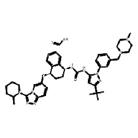 CC1CCCCN1c1nnc2ccc(O[C@@H]3CC[C@H](NC(=O)Nc4cc(C(C)(C)C)nn4-c4cccc(CN5CCN(C)CC5)c4)c4ccccc43)cn12.O=CO